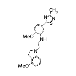 COc1ccc(-c2nc(C)ns2)cc1NCCN1CCc2c(OC)cccc21